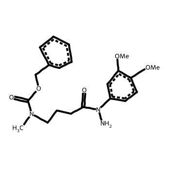 COc1ccc(N(N)C(=O)CCCN(C)C(=O)OCc2ccccc2)cc1OC